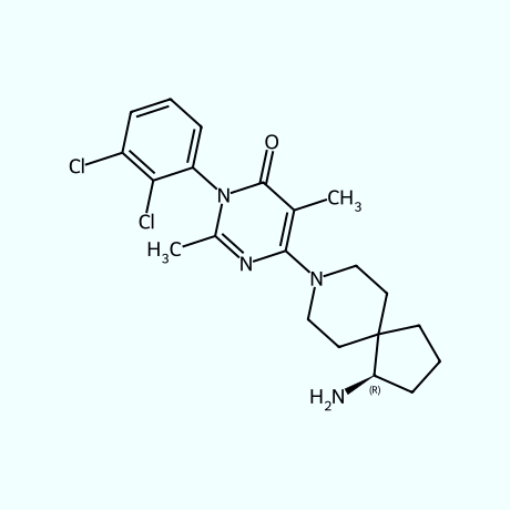 Cc1c(N2CCC3(CCC[C@H]3N)CC2)nc(C)n(-c2cccc(Cl)c2Cl)c1=O